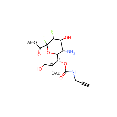 C#CCNC(=O)O[C@@H](C1OC(F)(C(=O)OC)C(F)C(O)C1N)[C@@H](CO)OC(C)=O